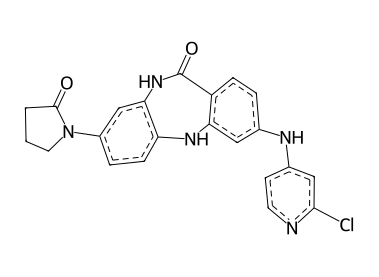 O=C1Nc2cc(N3CCCC3=O)ccc2Nc2cc(Nc3ccnc(Cl)c3)ccc21